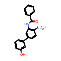 O=C(Nc1cc(-c2cccc(O)c2)ccc1C(=O)O)c1ccccc1